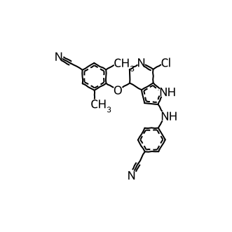 Cc1cc(C#N)cc(C)c1OC1CN=C(Cl)c2[nH]c(Nc3ccc(C#N)cc3)cc21